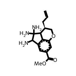 C=CC[C@H]1COc2cc(C(=O)OC)cc3c2C1C(N)(N)C3N